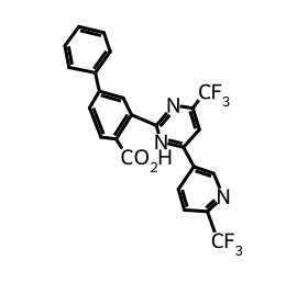 O=C(O)c1ccc(-c2ccccc2)cc1-c1nc(-c2ccc(C(F)(F)F)nc2)cc(C(F)(F)F)n1